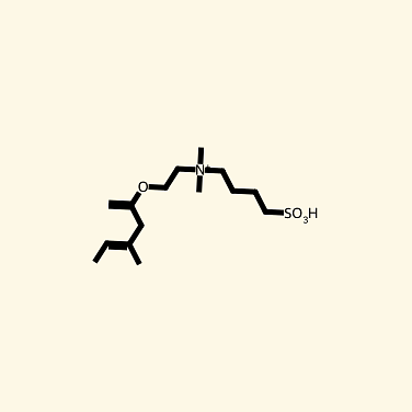 C=C(CC(C)=CC)OCC[N+](C)(C)CCCCS(=O)(=O)O